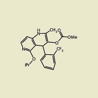 COC(=O)OC1=C(C)Nc2ccnc(OC(C)C)c2C1c1ccccc1C(F)(F)F